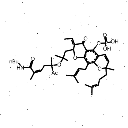 C/C=C1/C(=O)c2c(OP(=O)(O)O)c3c(c(CC=C(C)C)c2OC1CC(C)(C)OC(C)(C/C=C(/C)C(=O)NCCCC)C(C)=O)OC(C)(CCC=C(C)C)C=C3